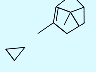 C1CC1.CC1=C2CC(CC1)C2(C)C